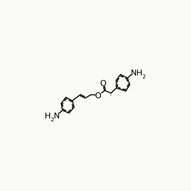 Nc1ccc([CH]C(=O)OCC=Cc2ccc(N)cc2)cc1